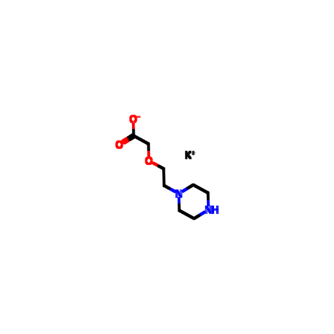 O=C([O-])COCCN1CCNCC1.[K+]